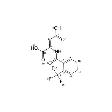 O=C(O)/C=C(\NC(=O)c1ccccc1C(F)(F)F)C(=O)O